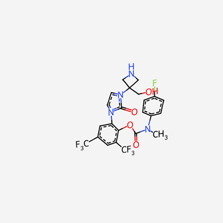 CN(C(=O)Oc1c(-n2ccn(C3(CO)CNC3)c2=O)cc(C(F)(F)F)cc1C(F)(F)F)c1ccc(F)cc1